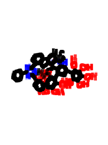 C=C(/C=C\C=C/C)c1c(Nc2ccc3c(c2)Cc2c(-c4nc(-c5ccccc5)nc(-c5ccccc5)n4)cccc2-3)cc(-c2c(O)c(O)c(O)c(O)c2O)cc1-c1c(O)c(O)c(O)c(O)c1O